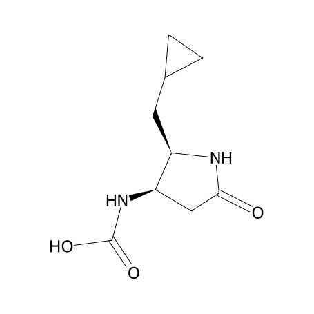 O=C(O)N[C@@H]1CC(=O)N[C@@H]1CC1CC1